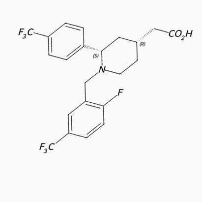 O=C(O)C[C@@H]1CCN(Cc2cc(C(F)(F)F)ccc2F)[C@H](c2ccc(C(F)(F)F)cc2)C1